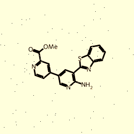 COC(=O)c1cc(-c2cnc(N)c(-c3nc4ccccc4s3)c2)ccn1